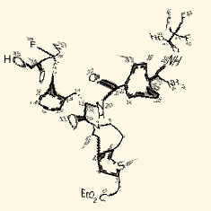 CCOC(=O)Cc1cc2c(s1)CCN(C(=O)[C@H](Cc1ccncc1)NC(=O)c1ccc(C(=N)N)cc1)C2.O=C(O)C(F)(F)F.O=C(O)C(F)(F)F